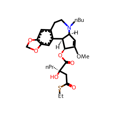 CCCCN1CCc2cc3c(cc2[C@@H]2[C@H](OC(=O)[C@@](O)(CCC)CC(=O)SCC)C(OC)=C[C@@H]21)OCO3